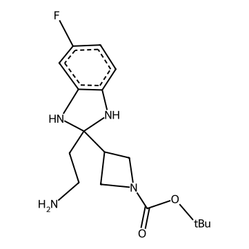 CC(C)(C)OC(=O)N1CC(C2(CCN)Nc3ccc(F)cc3N2)C1